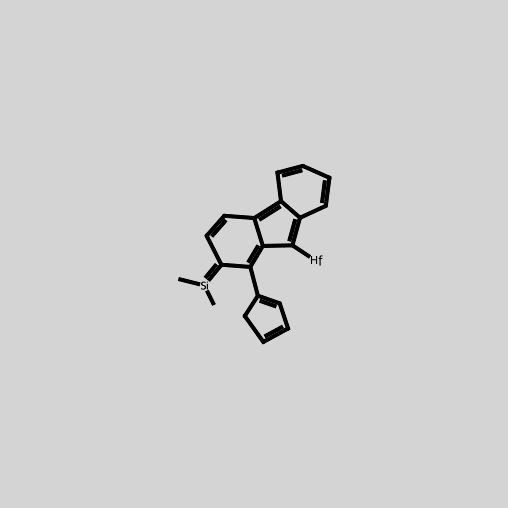 C[Si](C)=c1ccc2c(c1C1=CC=CC1)[C]([Hf])=c1ccccc1=2